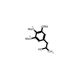 COc1cc(CC(C)O)cc(OC)c1OC